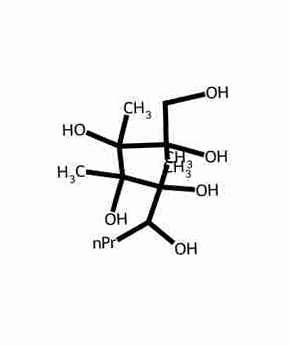 CCCC(O)C(C)(O)C(C)(O)C(C)(O)C(C)(O)CO